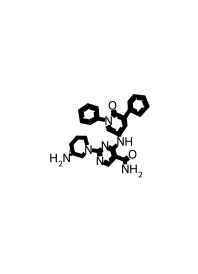 NC(=O)c1cnc(N2CCC[C@H](N)C2)nc1Nc1cc(-c2ccccc2)c(=O)n(-c2ccccc2)c1